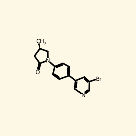 C[C@@H]1CC(=O)N(c2ccc(-c3cncc(Br)c3)cc2)C1